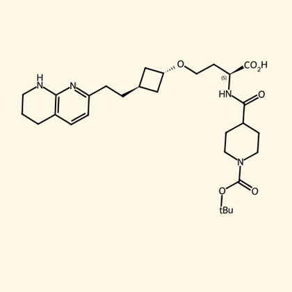 CC(C)(C)OC(=O)N1CCC(C(=O)N[C@@H](CCO[C@H]2C[C@H](CCc3ccc4c(n3)NCCC4)C2)C(=O)O)CC1